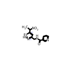 CC/C(=C\C(CNC(=O)c1cccnc1)=N/O)C(C)[N+](=O)[O-]